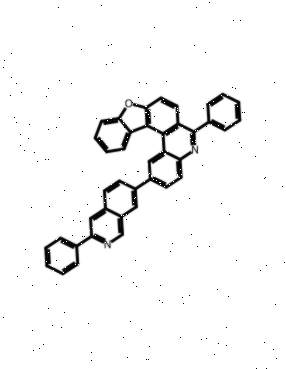 c1ccc(-c2cc3ccc(-c4ccc5nc(-c6ccccc6)c6ccc7oc8ccccc8c7c6c5c4)cc3cn2)cc1